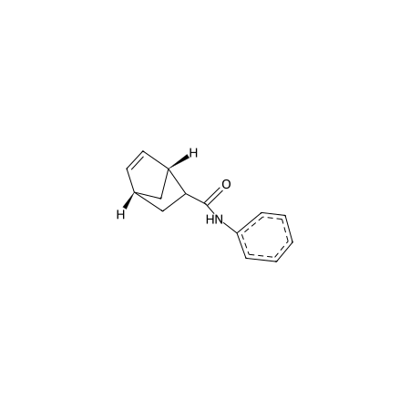 O=C(Nc1ccccc1)C1C[C@@H]2C=C[C@H]1C2